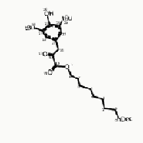 CCCCCCCCCCCCCCCCCCOC(=O)C(=O)Cc1cc(C(C)(C)C)c(O)c(C(C)(C)C)c1